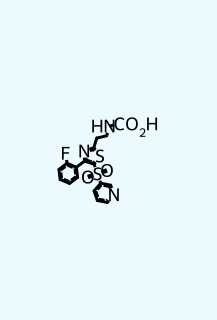 O=C(O)NCCc1nc(-c2ccccc2F)c(S(=O)(=O)c2cccnc2)s1